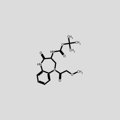 COCC(=O)N1CC(NC(=O)OC(C)(C)C)C(=O)Nc2ccccc21